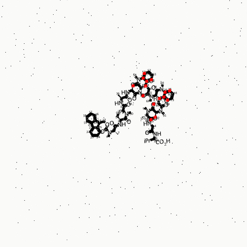 CC(C)C[C@H](NC(=O)[C@H](C)N(C)C(=O)OCC1c2ccccc2-c2ccccc21)C(=O)N(C)CC(=O)N[C@@H](C)C(=O)N[C@@H](CC(C)C)C(=O)N(C)[C@@H](Cc1ccccc1)C(=O)N(C)[C@@H](C)C(=O)NCC(=O)N(C)[C@@H](Cc1ccccc1)C(=O)N(C)[C@@H](C)C(=O)N[C@@H](C)C(=O)N(C)[C@@H](CC(C)C)C(=O)N(C)[C@@H](C)C(=O)NCC(=O)N[C@H](C(=O)O)C(C)C